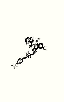 CN1CCN(CCn2nnc(Cn3cc(NC(=O)c4cnn5cccnc45)c(-c4cc(Cl)ccc4OC(F)F)n3)n2)CC1